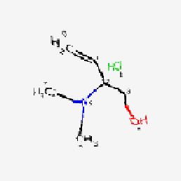 C=CC(CO)N(C)C.Cl